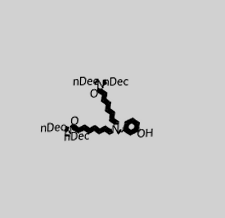 CCCCCCCCCCN(CCCCCCCCCC)C(=O)CCCCCCCN(CCCCCCCC(=O)N(CCCCCCCCCC)CCCCCCCCCC)C[C@@H]1CCC[C@H](O)C1